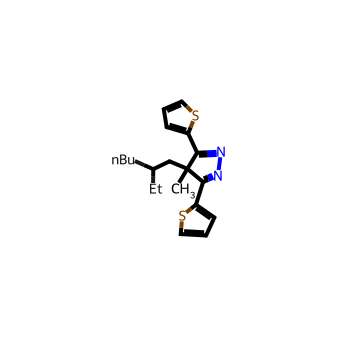 CCCCC(CC)CC1(C)C(c2cccs2)=NN=C1c1cccs1